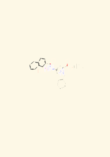 CC(C)(C)OC(=O)C1C[C@H](NC(=O)c2ccc3ccccc3c2O)CN1CC1CCCCC1